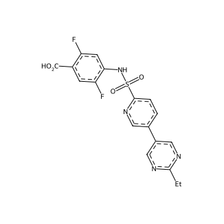 CCc1ncc(-c2ccc(S(=O)(=O)Nc3cc(F)c(C(=O)O)cc3F)nc2)cn1